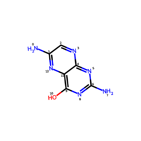 Nc1cnc2nc(N)nc(O)c2n1